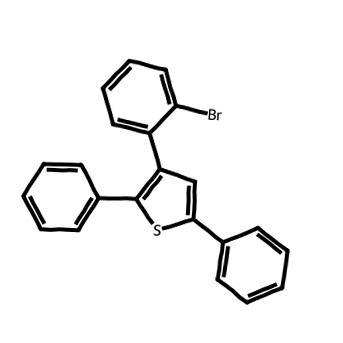 Brc1ccccc1-c1cc(-c2ccccc2)sc1-c1ccccc1